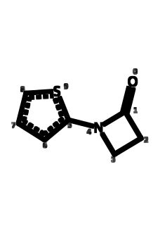 O=C1CCN1c1cccs1